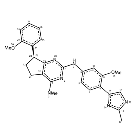 CNc1nc(Nc2ccc(-n3cnc(C)n3)c(OC)c2)nc2c1CC[C@H]2c1ccccc1OC